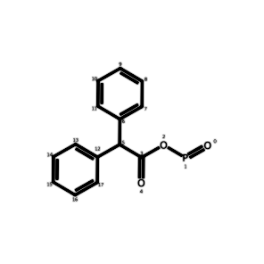 O=POC(=O)C(c1ccccc1)c1ccccc1